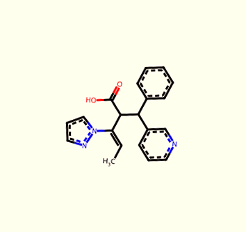 CC=C(C(C(=O)O)C(c1ccccc1)c1cccnc1)n1cccn1